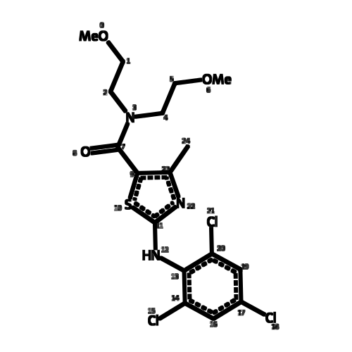 COCCN(CCOC)C(=O)c1sc(Nc2c(Cl)cc(Cl)cc2Cl)nc1C